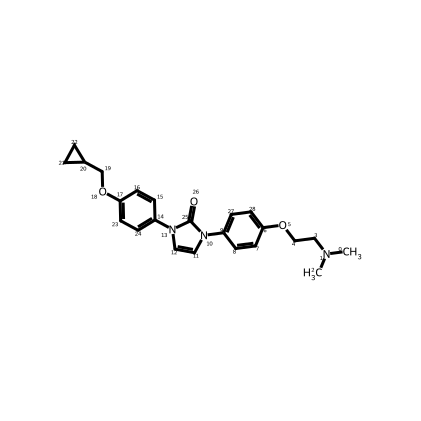 CN(C)CCOc1ccc(-n2ccn(-c3ccc(OCC4CC4)cc3)c2=O)cc1